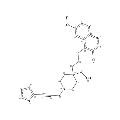 COc1ccc2ncc(Cl)c(CCCC3(CO)CCN(CC#Cc4nccs4)CC3)c2c1